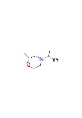 CC1CN(C(C)C(C)C)CCO1